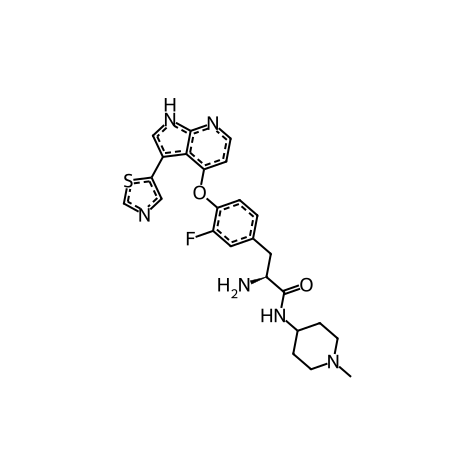 CN1CCC(NC(=O)[C@@H](N)Cc2ccc(Oc3ccnc4[nH]cc(-c5cncs5)c34)c(F)c2)CC1